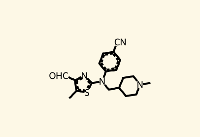 Cc1sc(N(CC2CCN(C)CC2)c2ccc(C#N)cc2)nc1C=O